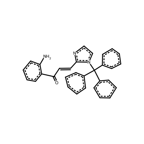 Nc1ccccc1C(=O)C=Cc1nccn1C(c1ccccc1)(c1ccccc1)c1ccccc1